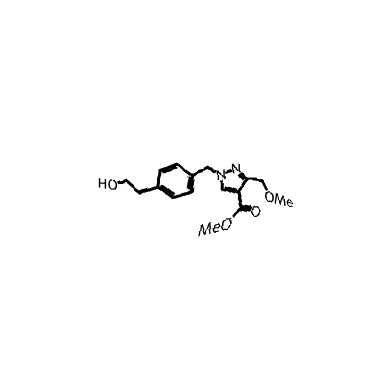 COCc1nn(Cc2ccc(CCO)cc2)cc1C(=O)OC